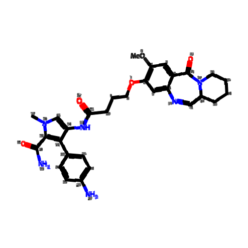 COc1cc2c(cc1OCCCC(=O)Nc1cn(C)c(C(N)=O)c1-c1ccc(N)cc1)N=CC1CCCCN1C2=O